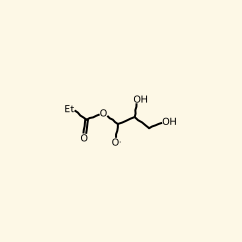 CCC(=O)OC([O])C(O)CO